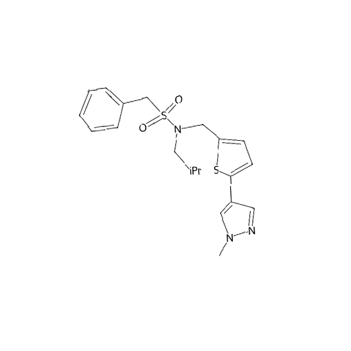 CC(C)CN(Cc1ccc(-c2cnn(C)c2)s1)S(=O)(=O)Cc1ccccc1